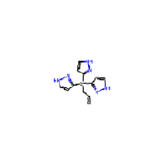 C=CC[Si](c1cc[nH]n1)(c1cc[nH]n1)c1cc[nH]n1